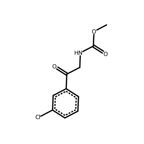 COC(=O)NCC(=O)c1cccc(Cl)c1